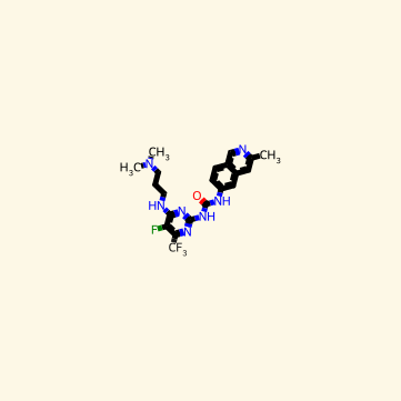 Cc1cc2cc(NC(=O)Nc3nc(NCCCN(C)C)c(F)c(C(F)(F)F)n3)ccc2cn1